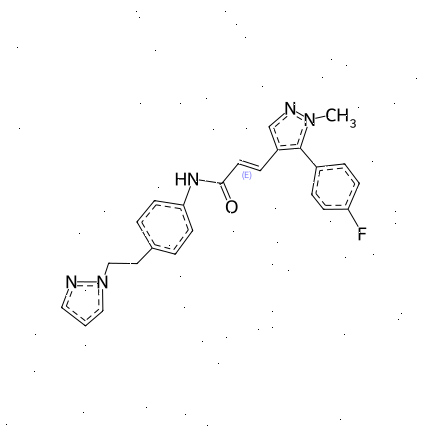 Cn1ncc(/C=C/C(=O)Nc2ccc(CCn3cccn3)cc2)c1-c1ccc(F)cc1